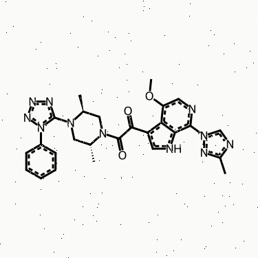 COc1cnc(-n2cnc(C)n2)c2[nH]cc(C(=O)C(=O)N3C[C@H](C)N(c4nnnn4-c4ccccc4)C[C@H]3C)c12